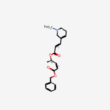 CCOC(=O)N1CCC=C(/C=C/C(=O)O[C@H](C)/C=C\C(=O)OCc2ccccc2)C1